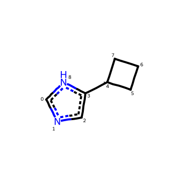 c1ncc([C]2CCC2)[nH]1